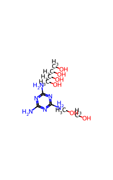 CO.CO.CO.CO.CO.CO.Nc1nc(N)nc(N)n1